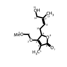 COCOC1=C(C)C(=O)OC1CC=C(C)CO